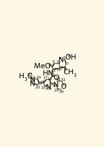 COc1cc2nc(O)cc(C)c2cc1NC(=O)c1cc(-c2cnn(C)c2)cnc1N1CCOCC1